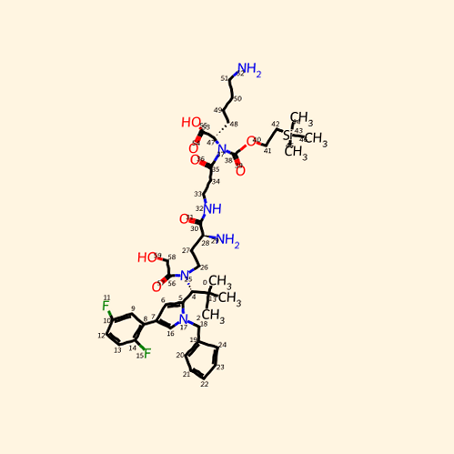 CC(C)(C)[C@H](c1cc(-c2cc(F)ccc2F)cn1Cc1ccccc1)N(CC[C@H](N)C(=O)NCCC(=O)N(C(=O)OCC[Si](C)(C)C)[C@@H](CCCCN)C(=O)O)C(=O)CO